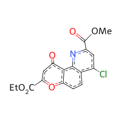 CCOC(=O)c1cc(=O)c2c(ccc3c(Cl)cc(C(=O)OC)nc32)o1